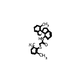 Cc1cccc(C)c1SCC(=O)Nc1cccc2c1[C@]1(CCc3cccc(C)c31)CC2